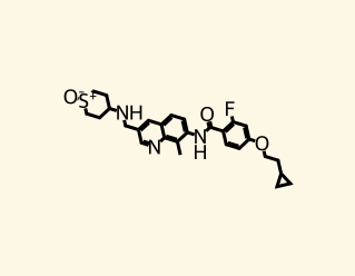 Cc1c(NC(=O)c2ccc(OCCC3CC3)cc2F)ccc2cc(CNC3CC[S+]([O-])CC3)cnc12